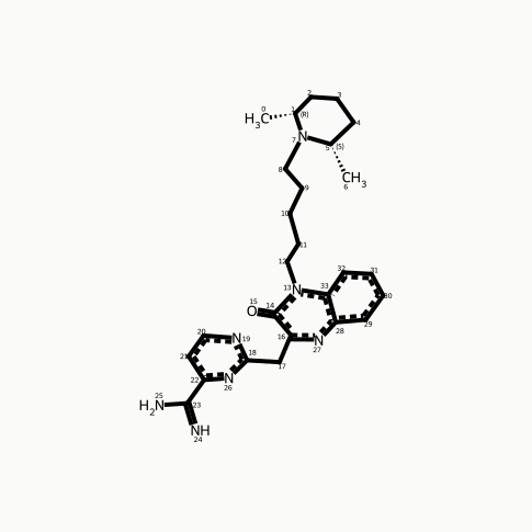 C[C@@H]1CCC[C@H](C)N1CCCCCn1c(=O)c(Cc2nccc(C(=N)N)n2)nc2ccccc21